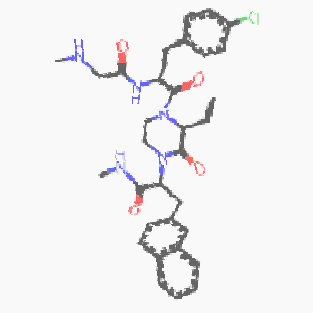 CCC1C(=O)N(C(Cc2ccc3ccccc3c2)C(=O)NC)CCN1C(=O)C(Cc1ccc(Cl)cc1)NC(=O)CNC